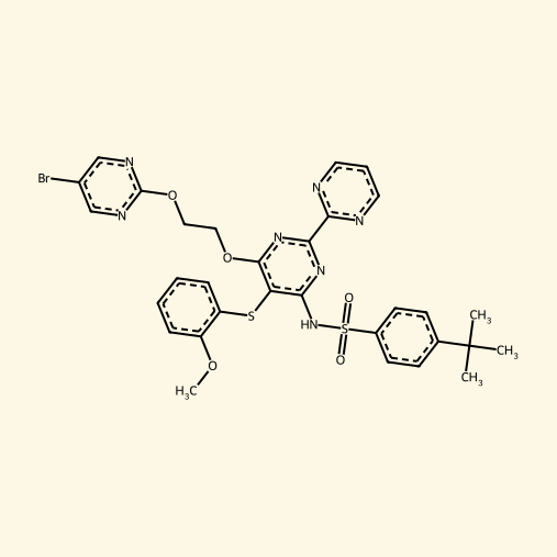 COc1ccccc1Sc1c(NS(=O)(=O)c2ccc(C(C)(C)C)cc2)nc(-c2ncccn2)nc1OCCOc1ncc(Br)cn1